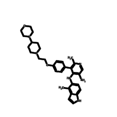 Cc1ncc(N)c(Nc2ccc3[nH]ccc3c2C)c1-c1ccc(OCCN2CCC(N3CCOCC3)CC2)cc1